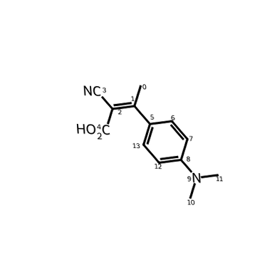 CC(=C(C#N)C(=O)O)c1ccc(N(C)C)cc1